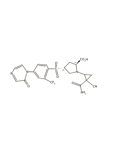 N#CC1(C(N)=O)CC1N1C[C@H](S(=O)(=O)c2ccc(-n3ccncc3=O)cc2C(F)(F)F)C[C@H]1C(=O)O